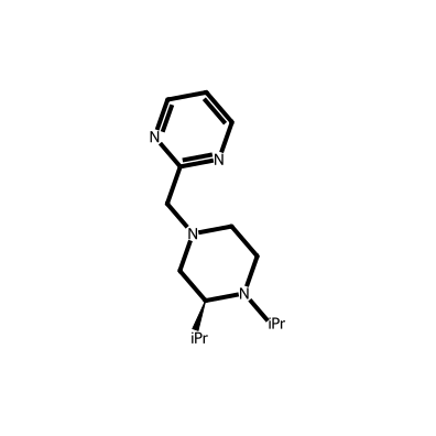 CC(C)[C@H]1CN(Cc2ncccn2)CCN1C(C)C